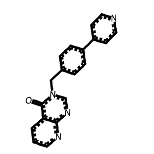 O=c1c2cccnc2ncn1Cc1ccc(-c2ccncc2)cc1